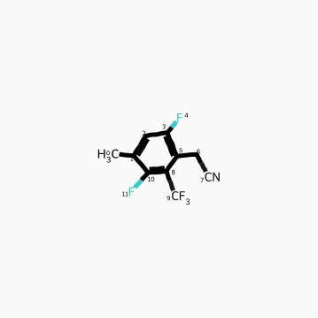 Cc1cc(F)c(CC#N)c(C(F)(F)F)c1F